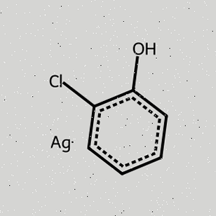 Oc1ccccc1Cl.[Ag]